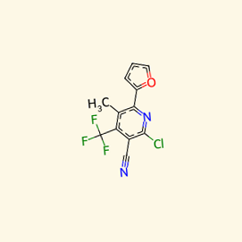 Cc1c(-c2ccco2)nc(Cl)c(C#N)c1C(F)(F)F